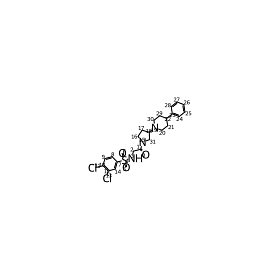 O=C(CNS(=O)(=O)c1ccc(Cl)c(Cl)c1)N1CCC(N2CCC(c3ccccc3)CC2)C1